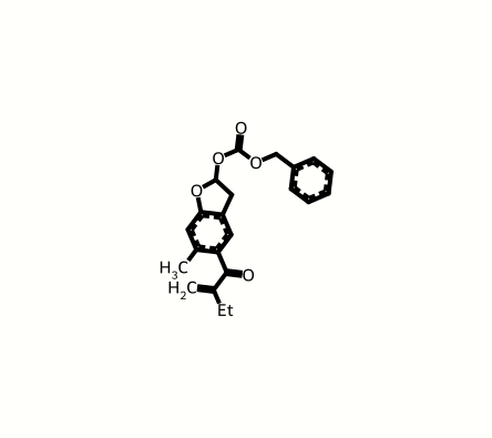 C=C(CC)C(=O)c1cc2c(cc1C)OC(OC(=O)OCc1ccccc1)C2